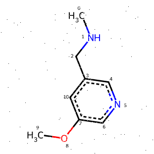 CNCc1cncc(OC)c1